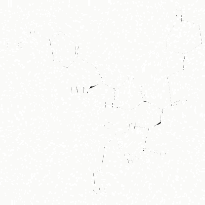 CCCCS(=O)(=O)N[C@@H](CN(C(=O)CCC1CCNCC1)C(=O)CNC(=O)[C@@H](N)Cc1ccc(OC)cc1)C(=O)O